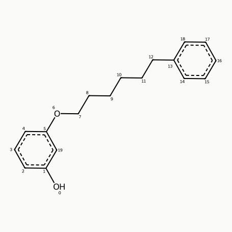 Oc1cccc(OCCCCCCc2ccccc2)c1